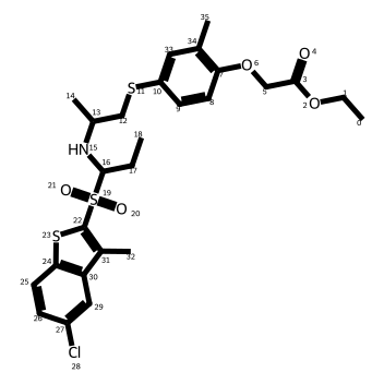 CCOC(=O)COc1ccc(SCC(C)NC(CC)S(=O)(=O)c2sc3ccc(Cl)cc3c2C)cc1C